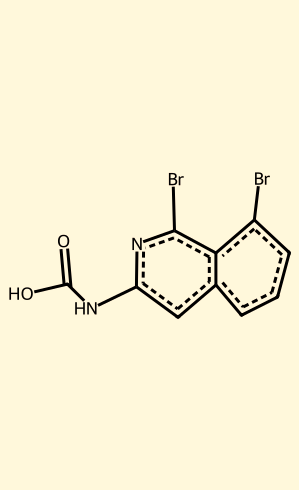 O=C(O)Nc1cc2cccc(Br)c2c(Br)n1